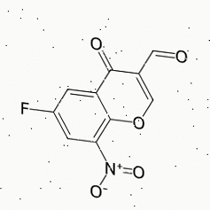 O=Cc1coc2c([N+](=O)[O-])cc(F)cc2c1=O